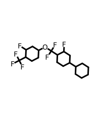 FC1CC(OC(F)(F)C2CCC(C3CCCCC3)CC2F)CCC1C(F)(F)F